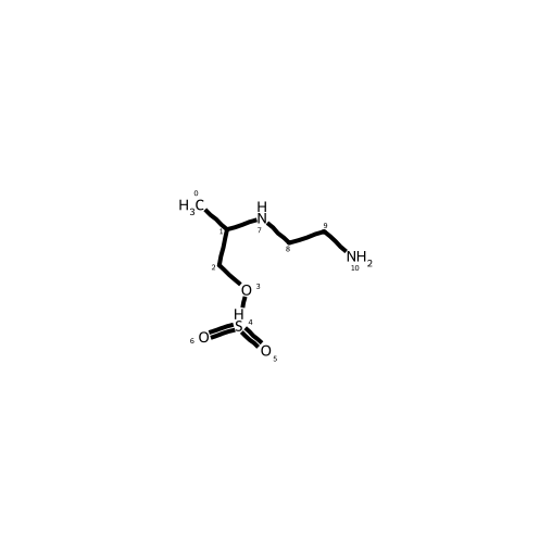 CC(CO[SH](=O)=O)NCCN